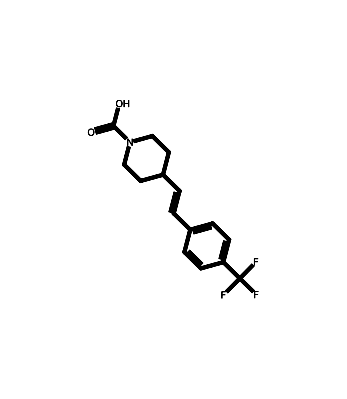 O=C(O)N1CCC(C=Cc2ccc(C(F)(F)F)cc2)CC1